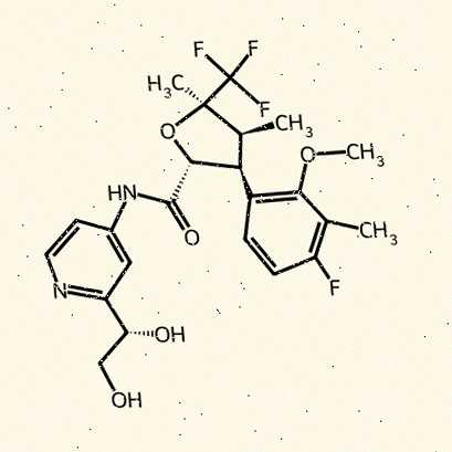 COc1c([C@H]2[C@H](C(=O)Nc3ccnc([C@H](O)CO)c3)O[C@@](C)(C(F)(F)F)[C@H]2C)ccc(F)c1C